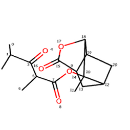 CC(C)C(=O)C(C)C(=O)OC1(C)C2CC3C(=O)OC1C3C2